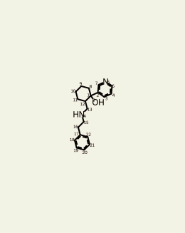 OC1(c2cccnc2)CCCCC1CNCCc1ccccc1